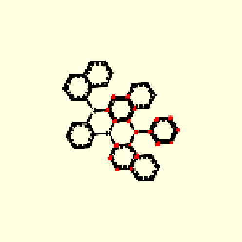 c1ccc(N(c2ccccc2N(c2ccccc2N(c2ccccc2)c2cccc3ccccc23)c2ccccc2N(c2ccccc2)c2cccc3ccccc23)c2cccc3ccccc23)cc1